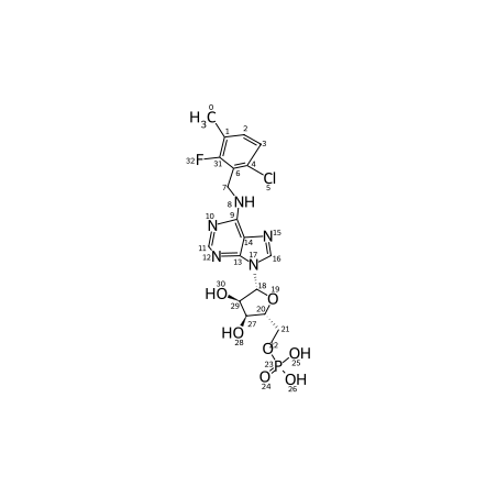 Cc1ccc(Cl)c(CNc2ncnc3c2ncn3[C@@H]2O[C@H](COP(=O)(O)O)[C@@H](O)[C@H]2O)c1F